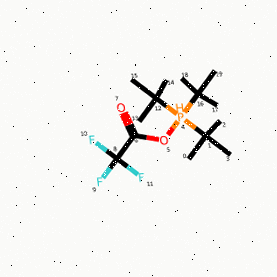 CC(C)(C)[PH](OC(=O)C(F)(F)F)(C(C)(C)C)C(C)(C)C